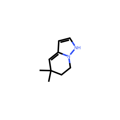 CC1(C)C=C2C=CNN2CC1